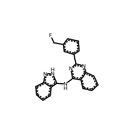 FCc1cccc(-c2nc(Nc3[nH]nc4ccccc34)c3ccccc3n2)c1